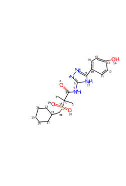 CC(C)(C(=O)Nc1nnc(-c2ccc(O)cc2)[nH]1)S(=O)(=O)CC1CCCCC1